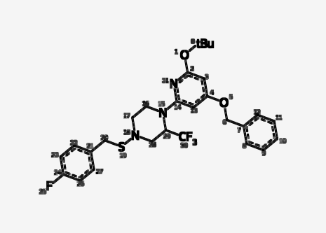 CC(C)(C)Oc1cc(OCc2ccccc2)cc(N2CCN(SCc3ccc(F)cc3)CC2C(F)(F)F)n1